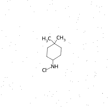 CC1(C)CCC(NCl)CC1